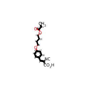 [C-]#[N+]/C(=C\c1ccc(OCCCCOC(=O)C=C)cc1)C(=O)O